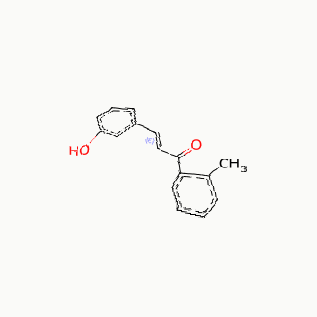 Cc1ccccc1C(=O)/C=C/c1cccc(O)c1